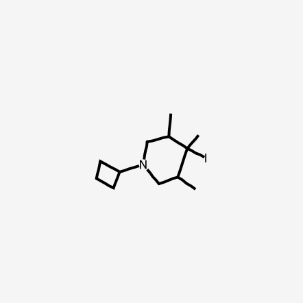 CC1CN(C2CCC2)CC(C)C1(C)I